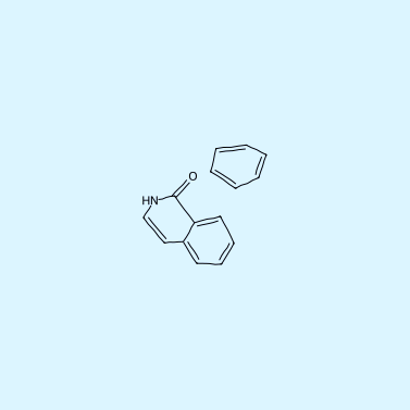 O=c1[nH]ccc2ccccc12.c1ccccc1